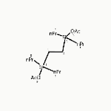 CCC[Si](CCC)(CC[Si](CCC)(CCC)OC(C)=O)OC(C)=O